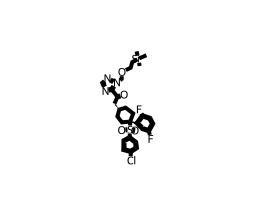 C[Si](C)(C)CCOCn1ncnc1C(=O)C[C@H]1CC[C@@](c2cc(F)ccc2F)(S(=O)(=O)c2ccc(Cl)cc2)CC1